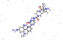 CCN(Cc1ccc(-n2ccc(NC(=O)N3CCN(C(=O)C(C)(C)N)CC3)nc2=O)cc1)C1C[C@@H](N)C[C@@H](N)C1